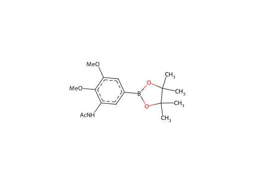 COc1cc(B2OC(C)(C)C(C)(C)O2)cc(NC(C)=O)c1OC